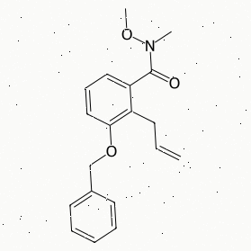 C=CCc1c(OCc2ccccc2)cccc1C(=O)N(C)OC